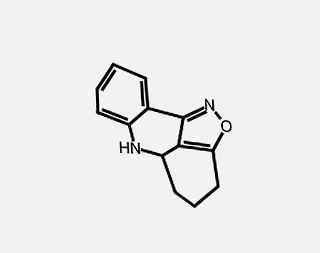 c1ccc2c(c1)NC1CCCc3onc-2c31